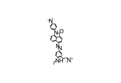 CCNc1ccc(/N=N/c2ccc3c4c(cccc24)N(c2ccc(N(C)C)cc2)C3=O)cc1CC[N+](C)(C)C